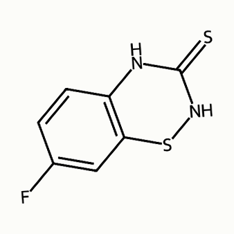 Fc1ccc2c(c1)SNC(=S)N2